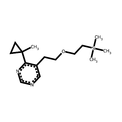 CC1(c2ncncc2CCOCC[Si](C)(C)C)CC1